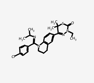 CCN1N=C(c2ccc3c(c2)CCCN3C(=NC(C)C)c2ccc(Cl)cc2)C(C)(C)SC1=O